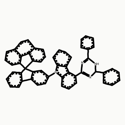 c1ccc(C2=NC(c3cccc4c3c3ccccc3n4-c3ccc4c(c3)C3(c5ccccc5-4)c4cccc5ccc6cccc3c6c45)=NC(c3ccccc3)N2)cc1